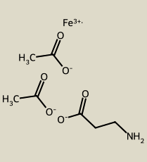 CC(=O)[O-].CC(=O)[O-].NCCC(=O)[O-].[Fe+3]